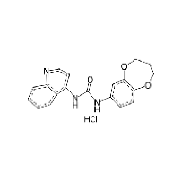 Cl.O=C(Nc1ccc2c(c1)OCCCO2)Nc1ccnc2ccccc12